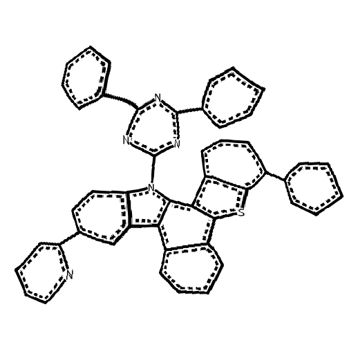 c1ccc(-c2nc(-c3ccccc3)nc(-n3c4ccc(-c5ccccn5)cc4c4c5ccccc5c5sc6c(-c7ccccc7)cccc6c5c43)n2)cc1